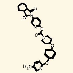 Cc1ccc(Oc2ccc(OC3CCN(C(=O)Oc4ccc(N5C(=O)C6CCCCC6C5=O)cn4)CC3)cc2)nc1